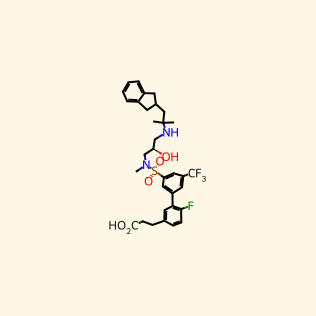 CN(C[C@H](O)CNC(C)(C)CC1Cc2ccccc2C1)S(=O)(=O)c1cc(-c2cc(CCC(=O)O)ccc2F)cc(C(F)(F)F)c1